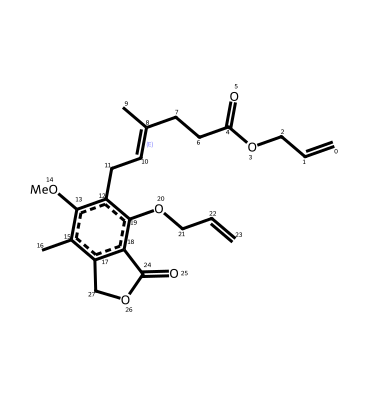 C=CCOC(=O)CC/C(C)=C/Cc1c(OC)c(C)c2c(c1OCC=C)C(=O)OC2